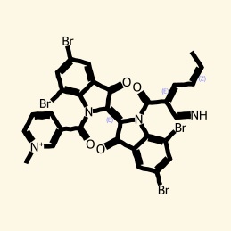 C/C=C\C=C(/C=N)C(=O)N1/C(=C2\C(=O)c3cc(Br)cc(Br)c3N2C(=O)c2ccc[n+](C)c2)C(=O)c2cc(Br)cc(Br)c21